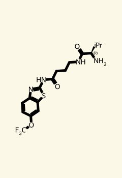 CC(C)[C@@H](N)C(=O)NCCCC(=O)Nc1nc2ccc(OC(F)(F)F)cc2s1